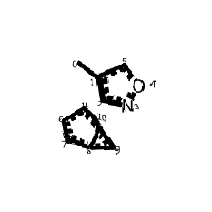 Cc1cnoc1.c1cc2cc-2c1